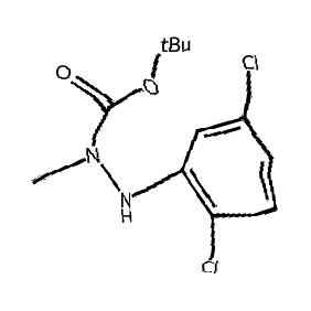 CN(Nc1cc(Cl)ccc1Cl)C(=O)OC(C)(C)C